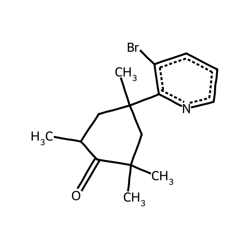 CC1CC(C)(c2ncccc2Br)CC(C)(C)C1=O